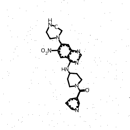 O=C(c1cccnc1)N1CCC(Nc2ncnc3cc(N4CCNCC4)c([N+](=O)[O-])cc23)CC1